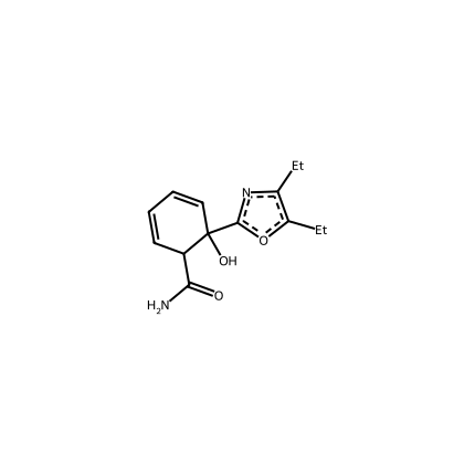 CCc1nc(C2(O)C=CC=CC2C(N)=O)oc1CC